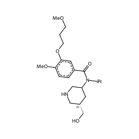 COCCCOc1cc(C(=O)N(C(C)C)C2CNC[C@@H](CO)C2)ccc1OC